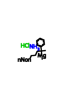 CCCCCCCCCCCC[C](C)([Mg][CH3])c1ccccc1.Cl.N